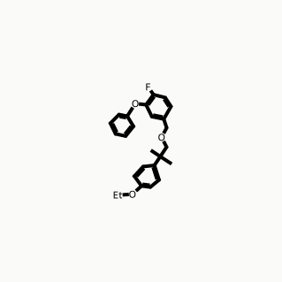 CCOc1ccc(C(C)(C)COCc2ccc(F)c(Oc3ccccc3)c2)cc1